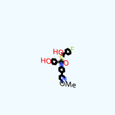 COc1ccc(-c2ccc(N3C(=O)[C@H](SC[C@@H](O)c4ccc(F)cc4)[C@H]3c3ccc(O)cc3)cc2)cn1